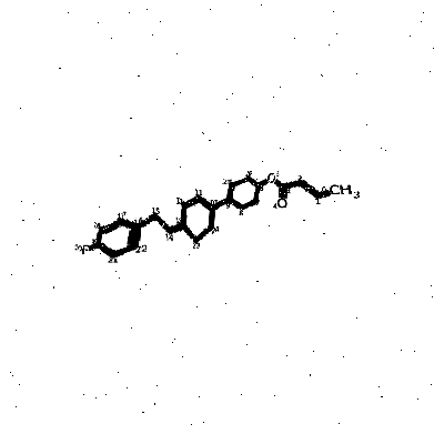 CC=CC(=O)OC1CCC(C2CCC(CCc3ccc(F)cc3)CC2)CC1